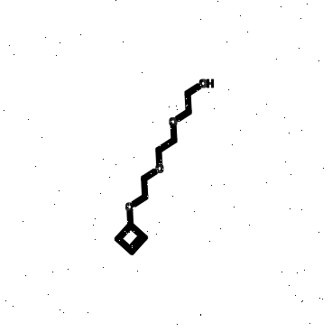 OCCOCCOCCOC1C=CC1